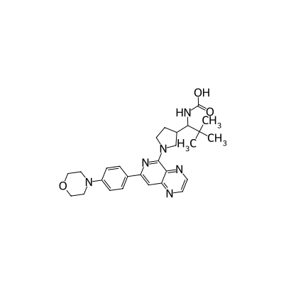 CC(C)(C)C(NC(=O)O)C1CCN(c2nc(-c3ccc(N4CCOCC4)cc3)cc3nccnc23)C1